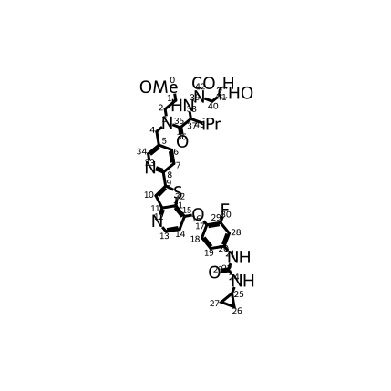 COCCN(Cc1ccc(-c2cc3nccc(Oc4ccc(NC(=O)NC5CC5)cc4F)c3s2)nc1)C(=O)C(NN(CC=O)C(=O)O)C(C)C